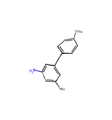 COc1ccc(-c2cc(N)cc(C(C)(C)C)c2)cc1